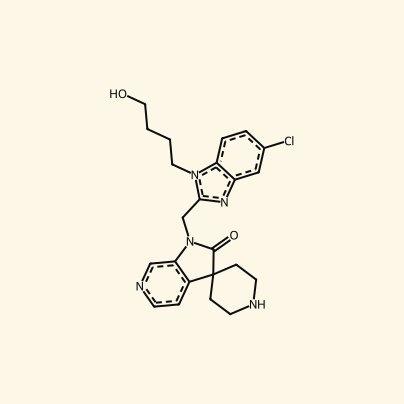 O=C1N(Cc2nc3cc(Cl)ccc3n2CCCCO)c2cnccc2C12CCNCC2